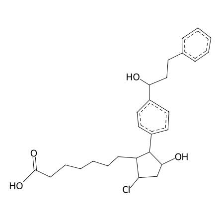 O=C(O)CCCCCCC1C(Cl)CC(O)C1c1ccc(C(O)CCc2ccccc2)cc1